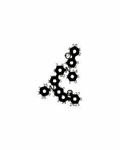 c1ccc(N(c2cccc(-c3ccc4c(c3)c3cc5c(ccc6c7ccccc7oc56)cc3n4-c3ccccc3)c2)c2ccc3c(c2)oc2ccccc23)cc1